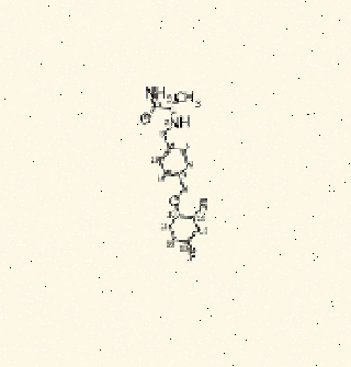 C[C@H](NCc1ccc(COc2ccc(F)cc2F)cc1)C(N)=O